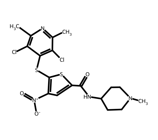 Cc1nc(C)c(Cl)c(Sc2sc(C(=O)NC3CCN(C)CC3)cc2[N+](=O)[O-])c1Cl